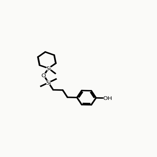 C[Si](C)(CCCc1ccc(O)cc1)O[Si]1(C)CCCCC1